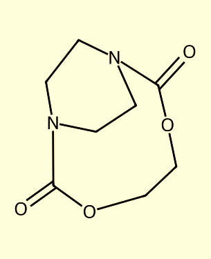 O=C1OCCOC(=O)N2CCN1CC2